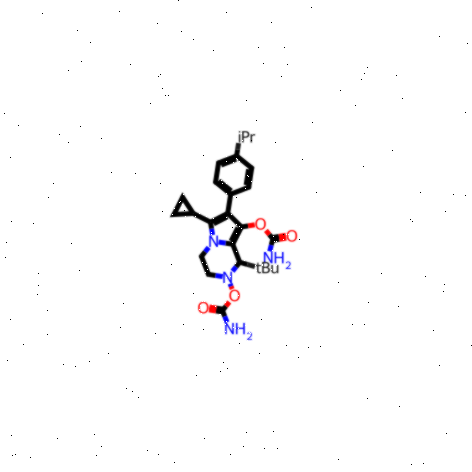 CC(C)c1ccc(-c2c(OC(N)=O)c3n(c2C2CC2)CCN(OC(N)=O)C3C(C)(C)C)cc1